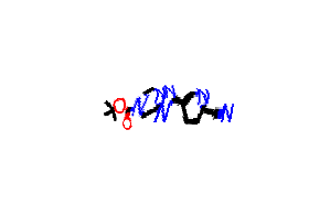 CC(C)(C)OC(=O)N1CCn2nc(-c3ccc(C#N)nc3)nc2C1